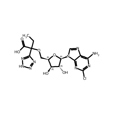 CCC(OC[C@H]1O[C@@H](n2cnc3c(N)nc(Cl)nc32)[C@H](O)[C@H]1O)(C(=O)O)c1nn[nH]n1